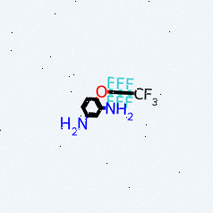 Nc1ccc(OC(F)(F)C(F)(F)C(F)(F)C(F)(F)F)c(N)c1